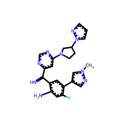 Cn1cc(-c2cc(C(=N)c3cc(N4CCC(n5cccn5)C4)ncn3)c(N)cc2F)cn1